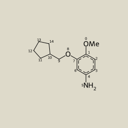 COc1ccc(N)cc1OCC1CCCC1